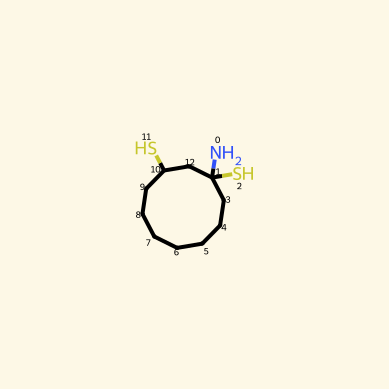 NC1(S)CCCCCCCC(S)C1